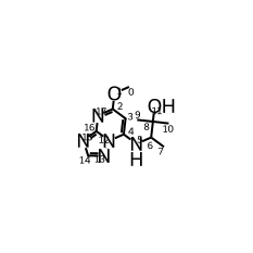 COc1cc(NC(C)C(C)(C)O)n2ncnc2n1